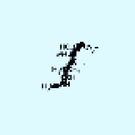 COc1cc(N=Nc2cc3c(S(=O)(=O)O)cccc3cc2S(=O)(=O)O)ccc1N=Nc1ccc(N=Nc2cc(C)c(N=Nc3ccc4cc(NCOc5ccc(N)cc5)ccc4c3O)cc2C)cc1C